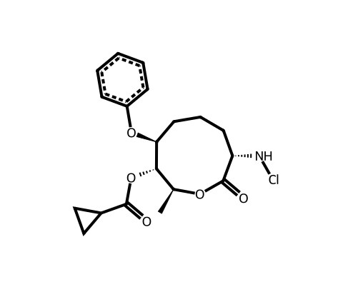 C[C@@H]1OC(=O)[C@@H](NCl)CCC[C@H](Oc2ccccc2)[C@H]1OC(=O)C1CC1